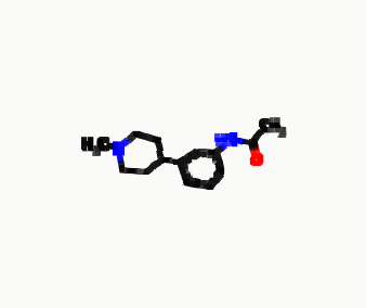 CC(=O)Nc1cccc(C2CCN(C)CC2)c1